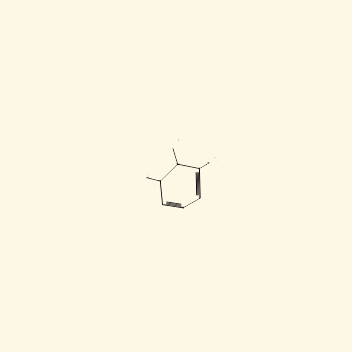 CC(=O)C1=CC=CC(C(F)(F)F)C1F